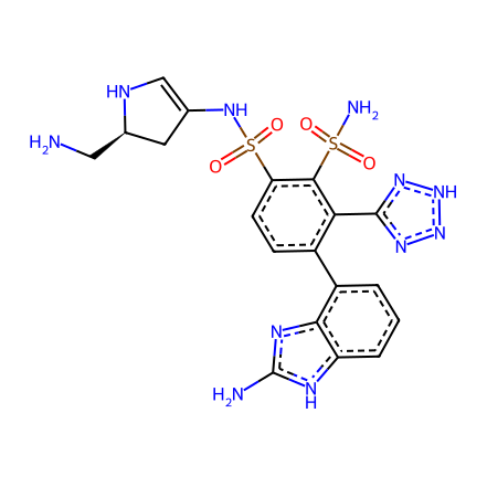 NC[C@@H]1CC(NS(=O)(=O)c2ccc(-c3cccc4[nH]c(N)nc34)c(-c3nn[nH]n3)c2S(N)(=O)=O)=CN1